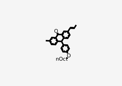 CC=Cc1ccc2c(c1)C(=O)c1cc(C)ccc1C2c1ccc(OCCCCCCCC)cc1